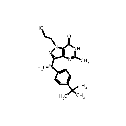 Cc1nc2c([C@H](C)c3ccc(C(C)(C)C)cc3)nn(CCO)c2c(=O)[nH]1